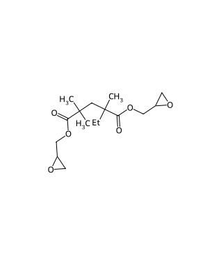 CCC(C)(CC(C)(C)C(=O)OCC1CO1)C(=O)OCC1CO1